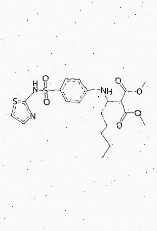 CCCCCC(Nc1ccc(S(=O)(=O)Nc2nccs2)cc1)C(C(=O)OC)C(=O)OC